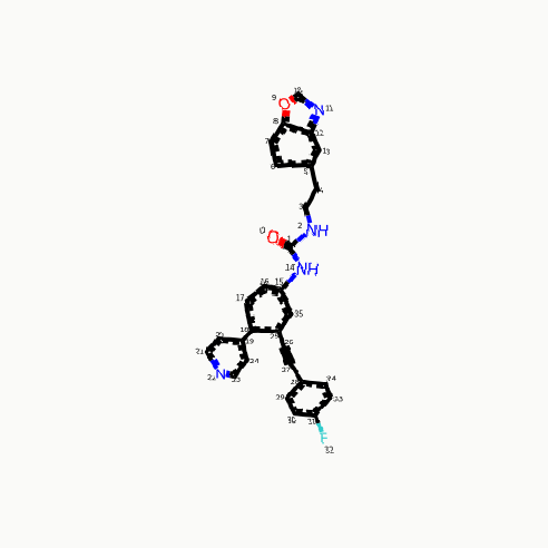 O=C(NCCc1ccc2ocnc2c1)Nc1ccc(-c2ccncc2)c(C#Cc2ccc(F)cc2)c1